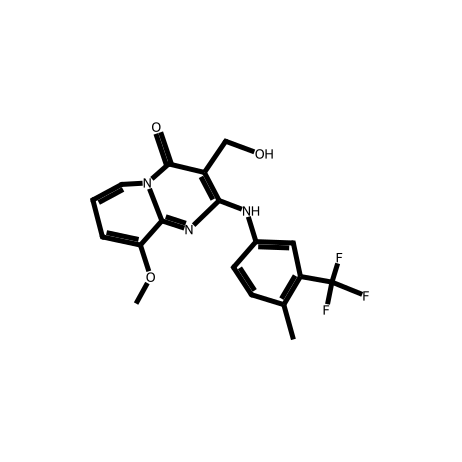 COc1cccn2c(=O)c(CO)c(Nc3ccc(C)c(C(F)(F)F)c3)nc12